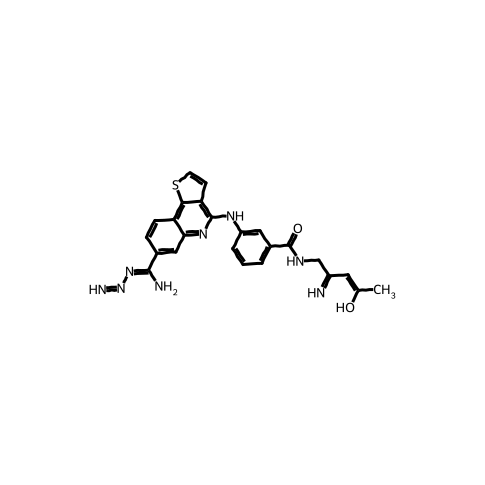 C/C(O)=C/C(=N)CNC(=O)c1cccc(Nc2nc3cc(/C(N)=N/N=N)ccc3c3sccc23)c1